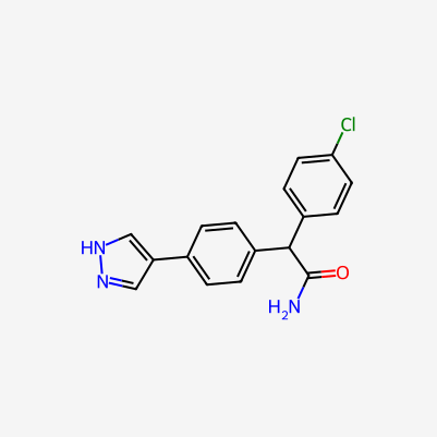 NC(=O)C(c1ccc(Cl)cc1)c1ccc(-c2cn[nH]c2)cc1